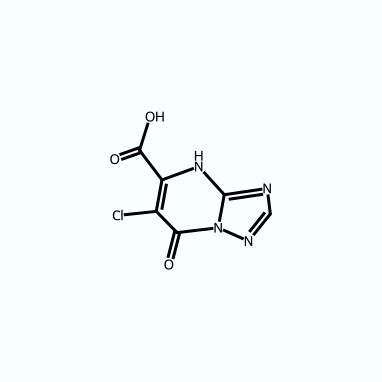 O=C(O)c1[nH]c2ncnn2c(=O)c1Cl